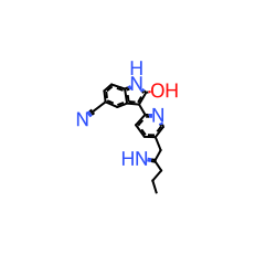 CCCC(=N)Cc1ccc(-c2c(O)[nH]c3ccc(C#N)cc23)nc1